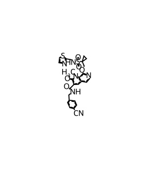 Cn1c(=O)c(C(=O)NCc2ccc(C#N)cc2)cc2ccnc(OCC3(S(=O)(=O)NCc4nccs4)CC3)c21